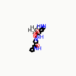 COC(=O)[C@@H](Cc1cc(C)c2[nH]ncc2c1)NC(=O)N1CCC(c2cc3ccccc3[nH]c2=O)CC1